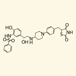 O=C1NC(=O)C(Cc2ccc(N3CCC(NC[C@H](O)c4ccc(O)c(NS(=O)(=O)c5ccccc5)c4)CC3)cc2)S1